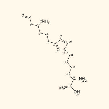 C=CCC(N)CCCc1cn(CCCCC(N)C(=O)O)nn1